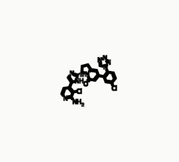 Nc1nccc(-c2cnc([C@@H]3CCc4cc(-c5cc(Cl)ccc5-n5cnnn5)cc(=O)n43)[nH]2)c1Cl